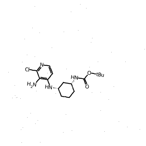 CC(C)(C)OC(=O)N[C@@H]1CCC[C@H](Nc2ccnc(Cl)c2N)C1